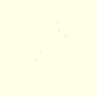 CCn1cc(-c2nn3cccnc3c2C(=O)O)cn1